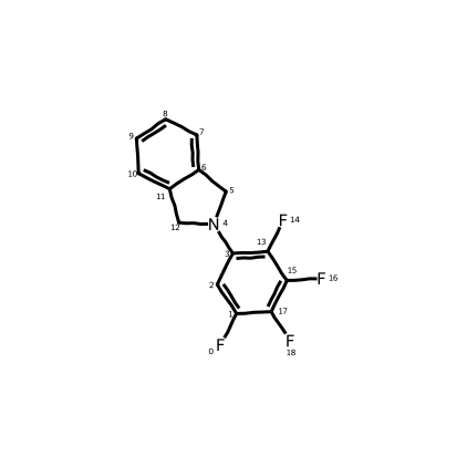 Fc1cc(N2Cc3ccccc3C2)c(F)c(F)c1F